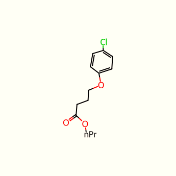 CCCOC(=O)CCCOc1ccc(Cl)cc1